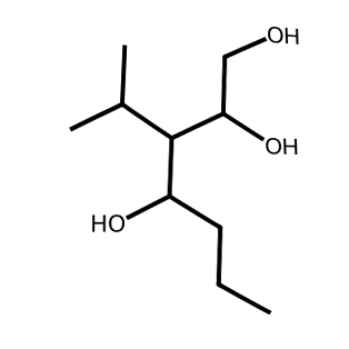 CCCC(O)C(C(C)C)C(O)CO